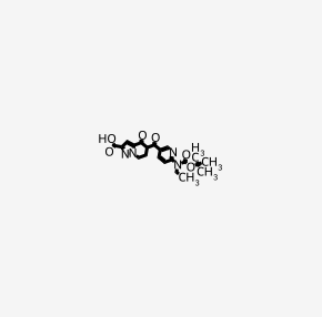 CCN(C(=O)OC(C)(C)C)c1ccc(C(=O)C2CCn3nc(C(=O)O)cc3C2=O)cn1